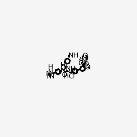 COc1ccc(-c2ccc(C[C@H](NC(=O)[C@H]3CC[C@H](CN)CC3)C(=O)Nc3ccc(-c4nnn[nH]4)cc3)cc2)cc1S(=O)(=O)N1CCOCC1.Cl